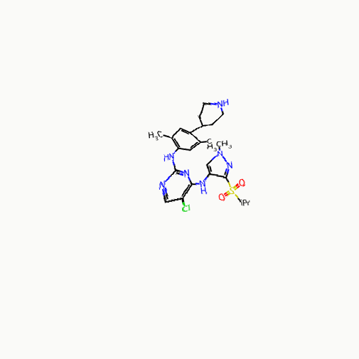 Cc1cc(C2CCNCC2)c(C)cc1Nc1ncc(Cl)c(Nc2cn(C)nc2S(=O)(=O)C(C)C)n1